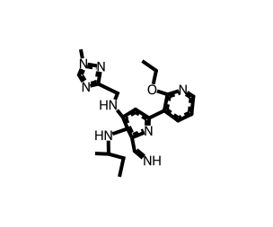 CCOc1ncccc1-c1cc(NCc2ncn(C)n2)c(NC(C)CC)c(C=N)n1